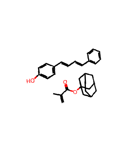 C=C(C)C(=O)OC12CC3CC(CC(C3)C1)C2.Oc1ccc(C=CC=Cc2ccccc2)cc1